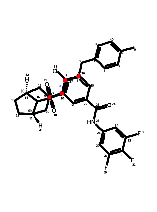 Cc1ccc(CO/N=C/C2C[C@@H]3CC[C@@H](C2)C3S(=O)(=O)c2cc(C(=O)Nc3cc(F)c(F)c(F)c3)ccc2Cl)cc1